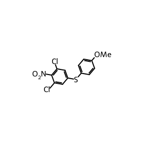 COc1ccc(Sc2cc(Cl)c([N+](=O)[O-])c(Cl)c2)cc1